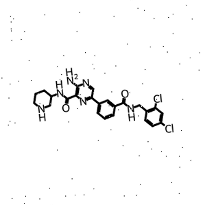 Nc1ncc(-c2cccc(C(=O)NCc3ccc(Cl)cc3Cl)c2)nc1C(=O)NC1CCCNC1